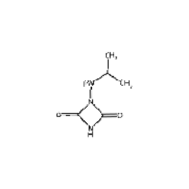 CC(C)NN1C(=O)NC1=O